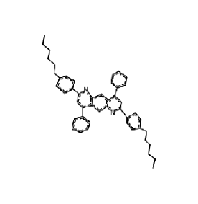 CCCCCCc1ccc(-c2cc(-c3ccccc3)c3cc4nc(-c5ccc(CCCCCC)cc5)cc(-c5ccccc5)c4cc3n2)cc1